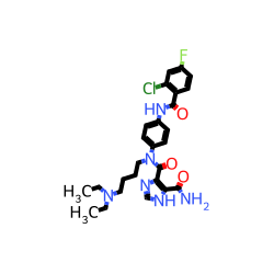 CCN(CC)CCCCN(C(=O)c1nc[nH]c1C(N)=O)c1ccc(NC(=O)c2ccc(F)cc2Cl)cc1